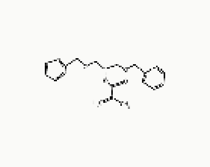 C=C(C)C(=O)OC(COCc1ccccc1)COCc1ccccc1